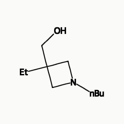 CCCCN1CC(CC)(CO)C1